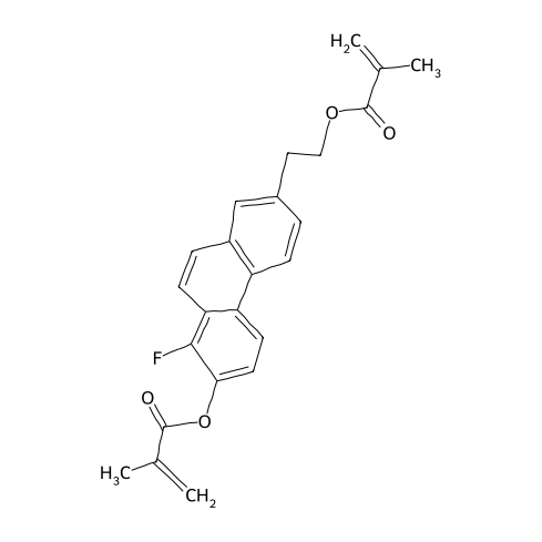 C=C(C)C(=O)OCCc1ccc2c(ccc3c(F)c(OC(=O)C(=C)C)ccc32)c1